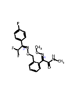 CNC(=O)/C(=N/OC)c1ccccc1CO/N=C(/c1ccc(F)cc1)C(F)F